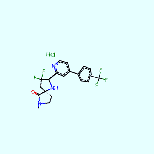 CN1CC[C@@]2(CC(F)(F)C(c3cc(-c4ccc(C(F)(F)F)cc4)ccn3)N2)C1=O.Cl